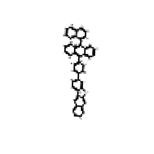 c1ccc2cc3c(cc2c1)sc1cc(-c2ccc(-c4c5ccccc5c(-c5cccc6ccccc56)c5ccccc45)cc2)ccc13